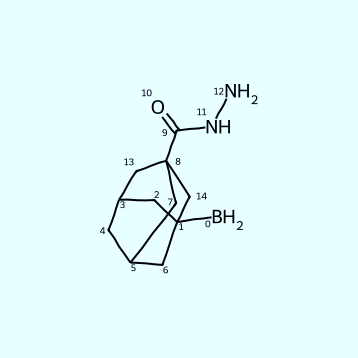 BC12CC3CC(C1)CC(C(=O)NN)(C3)C2